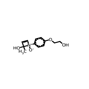 CC1(O)C=C[N+]1([O-])c1ccc(OCCO)cc1